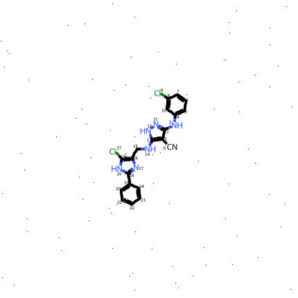 N#Cc1c(Nc2cccc(Cl)c2)n[nH]c1NCc1nc(-c2ccccc2)[nH]c1Cl